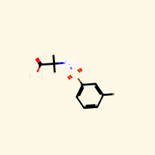 Cc1cccc(S(=O)(=O)NC(C)(C)C(=O)O)c1